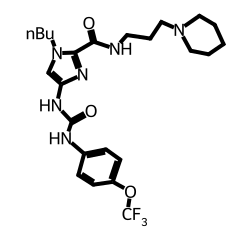 CCCCn1cc(NC(=O)Nc2ccc(OC(F)(F)F)cc2)nc1C(=O)NCCCN1CCCCC1